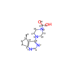 C[C@@H]1CCc2ncnc(N3CCN(C(=O)O)CC3)c21